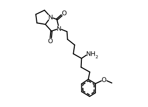 COc1ccccc1CCC(N)CCCCN1C(=O)C2CCCN2C1=O